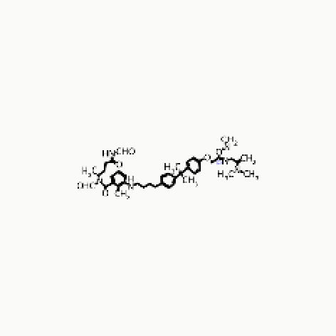 C=NO/C(COc1ccc(C(C)(C)c2ccc(CCCCNc3cccc(C(=O)N(C=O)C(C)CCC(=O)NC=O)c3C)cc2)cc1)=N\CC(=C)N(C)C